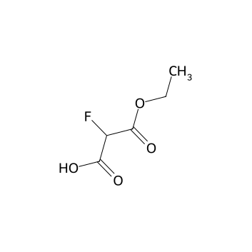 CCOC(=O)C(F)C(=O)O